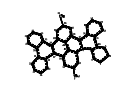 CC(C)(C)c1cc2c3c4ccccc4c4ccccc4c3c3cc(C(C)(C)C)cc4c5c6ccccc6c6ccccc6c5c(c1)c2c34